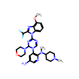 COc1cccc2c1nc(C(F)F)n2C1=NC(N2CCOCC2)N(c2cc(N)cnc2N(C)C2CCN(C)CC2)C=N1